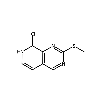 CSc1ncc2c(n1)C(Cl)NC=C2